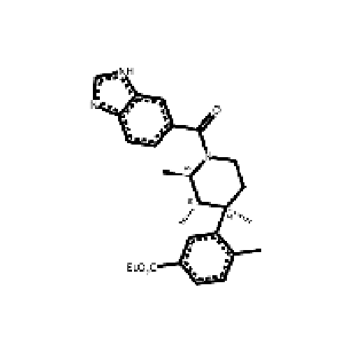 CCOC(=O)c1ccc(C)c([C@]2(C)CCN(C(=O)c3ccc4nc[nH]c4c3)[C@H](C)[C@H]2C)c1